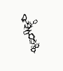 C1=CC(c2nc(-c3ccccc3)nc(-c3cccc(-c4ccc5nc(-c6nccc7c6oc6ccccc67)cnc5c4)c3)n2)=CCC1